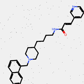 O=C(C=Cc1cccnc1)NCCCCC1CCN(Cc2cccc3ccccc23)CC1